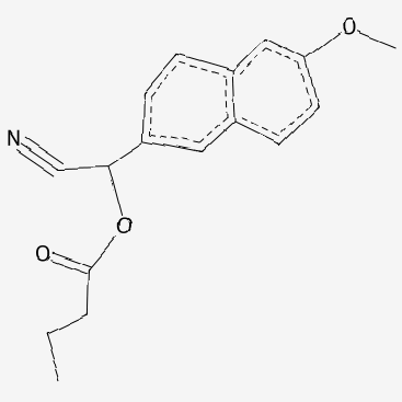 CCCC(=O)OC(C#N)c1ccc2cc(OC)ccc2c1